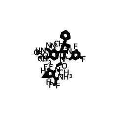 CN(CC(=O)N[C@@H](Cc1cc(F)cc(F)c1)c1ncc(-c2ccccc2)cc1-c1ccc(Cl)c2c(NS(C)(=O)=O)nn(C)c12)C1=C(C(=N)C(F)F)[C@H]2C[C@H]2C1(F)F